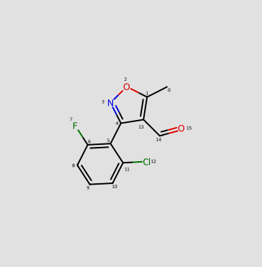 Cc1onc(-c2c(F)cccc2Cl)c1[C]=O